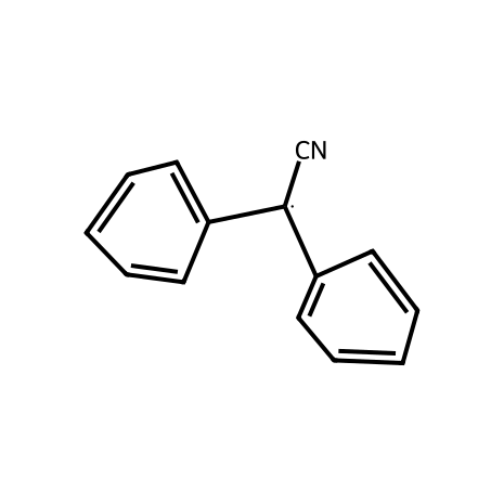 N#C[C](c1ccccc1)c1ccccc1